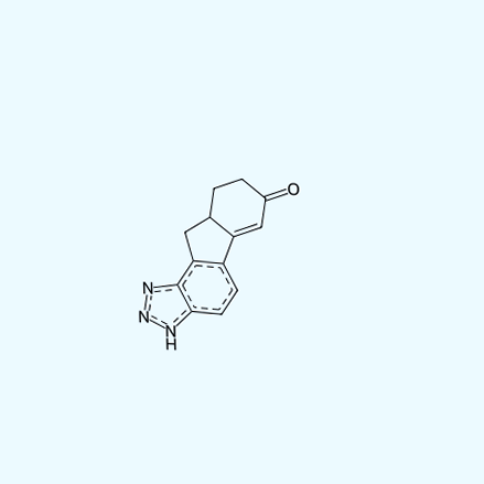 O=C1C=C2c3ccc4[nH]nnc4c3CC2CC1